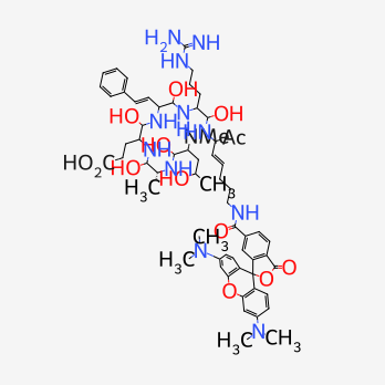 CNC(CC(C)O)C(O)N[C@H](C)C(O)NC(CCC(=O)O)C(O)NC(C=Cc1ccccc1)C(O)NC(CCCNC(=N)N)C(O)NC(C=CCCCNC(=O)c1ccc2c(c1)C1(OC2=O)c2ccc(N(C)C)cc2Oc2cc(N(C)C)ccc21)C(C)=O